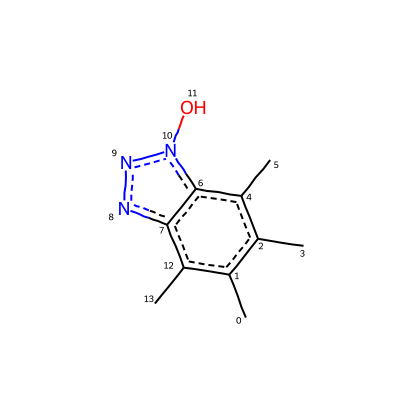 Cc1c(C)c(C)c2c(nnn2O)c1C